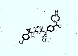 O=C(c1ccc(N(OCC(F)(F)F)c2ncnc(NC3(c4ccc(Cl)cc4)CC3)n2)cc1)N1CCCNCC1